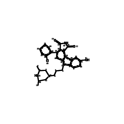 CC1CN(CCCn2c3ccc(O)cc3c3c4c(c(-c5ccccc5Cl)cc32)C(=O)NC4=O)CC(C)N1